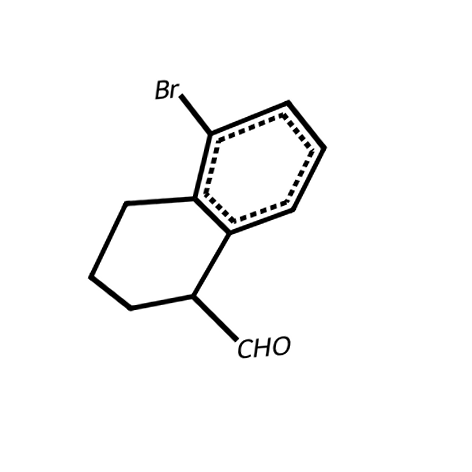 O=CC1CCCc2c(Br)cccc21